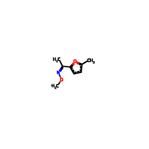 [CH2]O/N=C(/C)c1ccc(C)o1